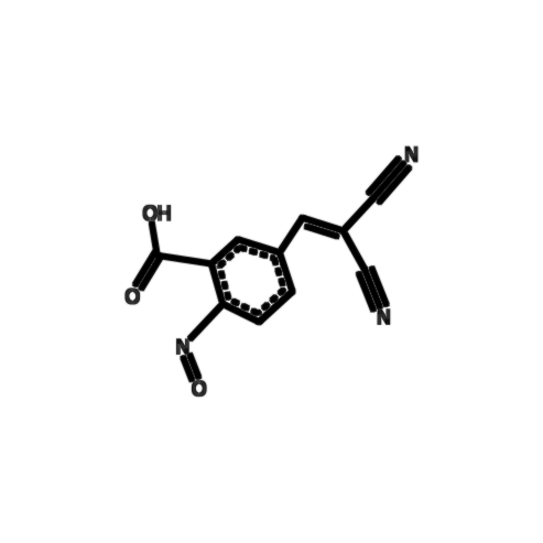 N#CC(C#N)=Cc1ccc(N=O)c(C(=O)O)c1